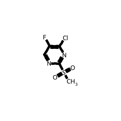 CS(=O)(=O)c1ncc(F)c(Cl)n1